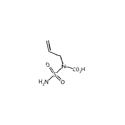 C=CCN(C(=O)O)S(N)(=O)=O